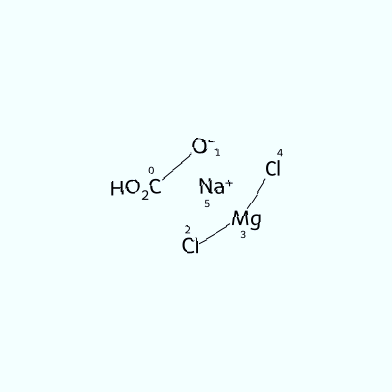 O=C([O-])O.[Cl][Mg][Cl].[Na+]